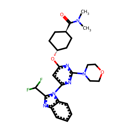 CN(C)C(=O)[C@H]1CC[C@H](Oc2cc(-n3c(C(F)F)nc4ccccc43)nc(N3CCOCC3)n2)CC1